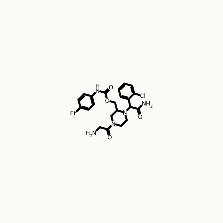 CCc1ccc(NC(=O)OCC2CN(C(=O)CN)CCN2C(C(N)=O)c2ccccc2Cl)cc1